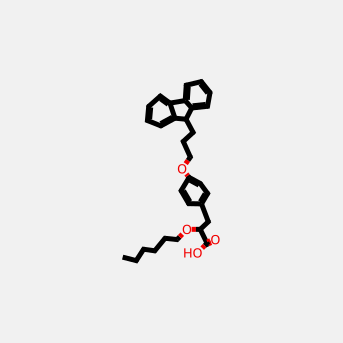 CCCCCCOC(Cc1ccc(OCCCC2c3ccccc3-c3ccccc32)cc1)C(=O)O